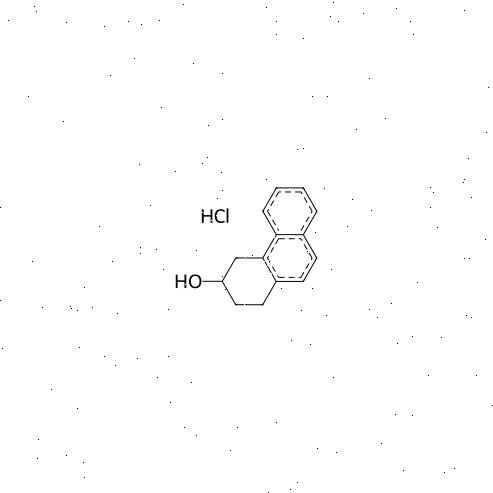 Cl.OC1CCc2ccc3ccccc3c2C1